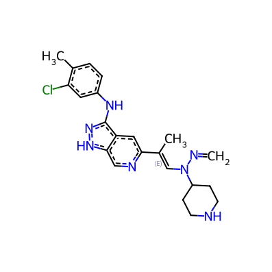 C=NN(/C=C(\C)c1cc2c(Nc3ccc(C)c(Cl)c3)n[nH]c2cn1)C1CCNCC1